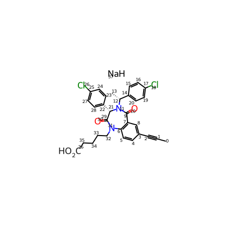 CC#Cc1ccc2c(c1)C(=O)N([C@H](C)c1ccc(Cl)cc1)[C@@H](c1ccc(Cl)cc1)C(=O)N2CCCCC(=O)O.[NaH]